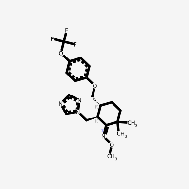 CO/N=C1/[C@@H](Cn2cncn2)[C@H](COc2ccc(OC(F)(F)F)cc2)CCC1(C)C